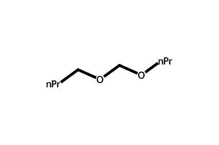 CCCCOCOCCC